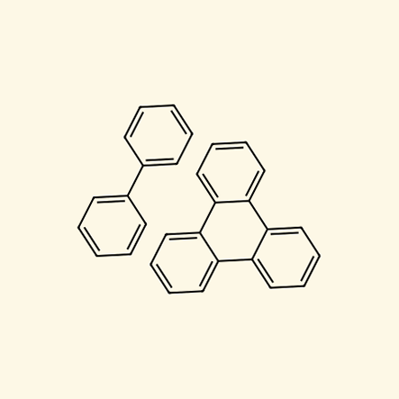 c1ccc(-c2ccccc2)cc1.c1ccc2c(c1)c1ccccc1c1ccccc21